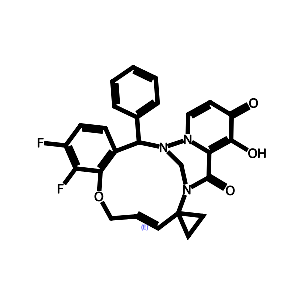 O=C1c2c(O)c(=O)ccn2N2CN1C1(/C=C/COc3c(ccc(F)c3F)C2c2ccccc2)CC1